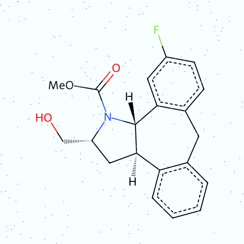 COC(=O)N1[C@@H](CO)C[C@@H]2c3ccccc3Cc3ccc(F)cc3[C@H]21